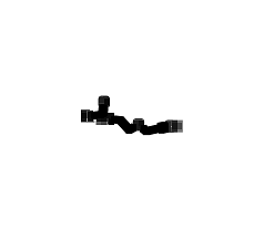 C#CCOCCNC(=O)CC